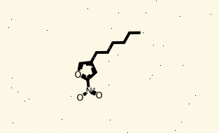 [CH2]CCCCCc1coc([N+](=O)[O-])c1